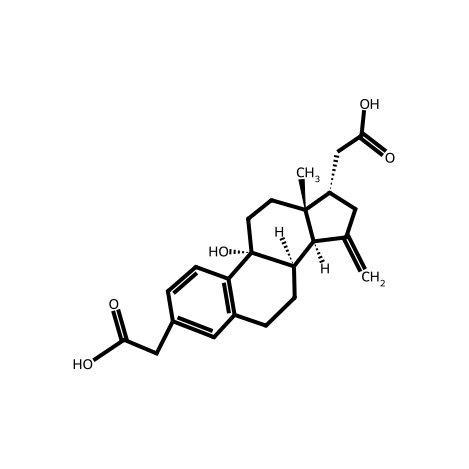 C=C1C[C@@H](CC(=O)O)[C@@]2(C)CC[C@]3(O)c4ccc(CC(=O)O)cc4CC[C@@H]3[C@H]12